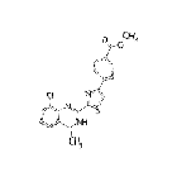 COC(=O)c1ccc(-c2csc(C3=Nc4c(Cl)cccc4C(C)N3)n2)cc1